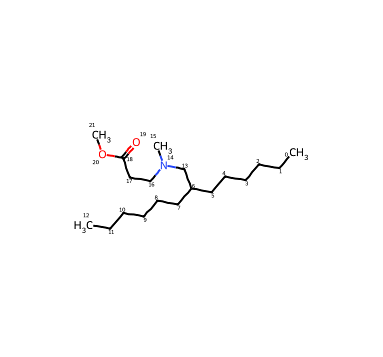 CCCCCCC(CCCCCC)CN(C)CCC(=O)OC